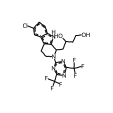 OCCC(O)CC1c2[nH]c3ccc(Cl)cc3c2CCN1c1nc(C(F)(F)F)nc(C(F)(F)F)n1